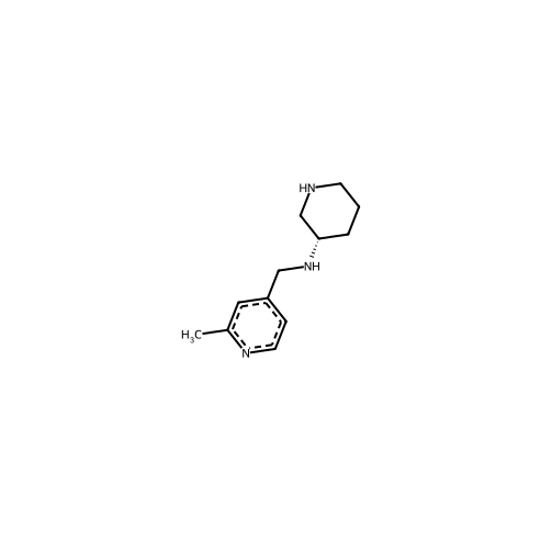 Cc1cc(CN[C@H]2CCCNC2)ccn1